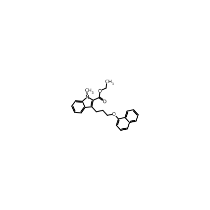 CCOC(=O)c1c(CCCOc2cccc3ccccc23)c2ccccc2n1C